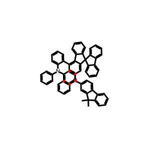 CC1(C)c2ccccc2-c2ccc(N(c3ccccc3)c3cc(-c4ccccc4N(c4ccccc4)c4ccccc4)c4c(c3)C3(c5ccccc5-c5ccccc53)c3ccccc3-4)cc21